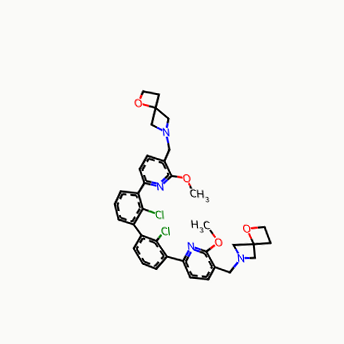 COc1nc(-c2cccc(-c3cccc(-c4ccc(CN5CC6(CCO6)C5)c(OC)n4)c3Cl)c2Cl)ccc1CN1CC2(CCO2)C1